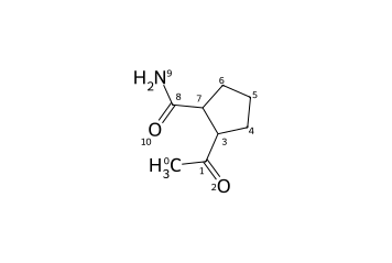 CC(=O)C1CCCC1C(N)=O